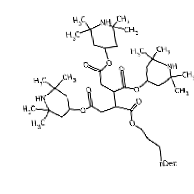 CCCCCCCCCCCCCOC(=O)C(CC(=O)OC1CC(C)(C)NC(C)(C)C1)C(CC(=O)OC1CC(C)(C)NC(C)(C)C1)C(=O)OC1CC(C)(C)NC(C)(C)C1